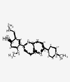 CN/C=C1/C=C(c2ccc3nc(C4CCN(C)CC4)ccc3n2)C(OC)=CC1=N